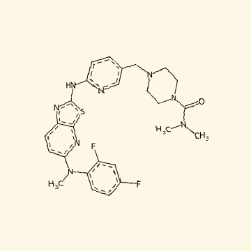 CN(C)C(=O)N1CCN(Cc2ccc(Nc3nc4ccc(N(C)c5ccc(F)cc5F)nc4s3)nc2)CC1